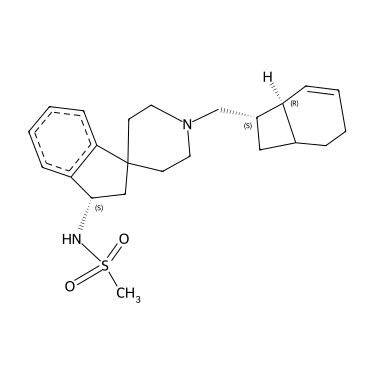 CS(=O)(=O)N[C@H]1CC2(CCN(C[C@H]3CC4CCC=C[C@@H]43)CC2)c2ccccc21